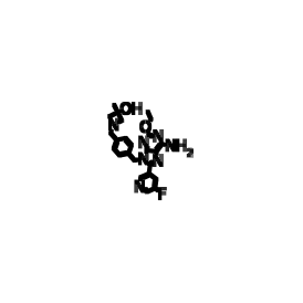 CCOc1nc(N)c2nc(-c3cncc(F)c3)n(Cc3ccc(CN4CC(C)(O)C4)cc3)c2n1